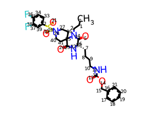 CCCN1C(=O)[C@H](CCCCNC(=O)OCc2ccccc2)NC(=O)C12CCN(S(=O)(=O)c1ccc(F)c(F)c1)CC2